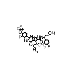 CC(C)c1c(C(=O)NC(CCO)c2ccc(F)cc2)cn2nc(-c3ccc(OC(F)(F)F)c(F)c3)[nH]c(=O)c12